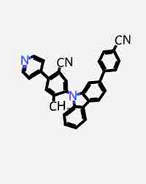 Cc1cc(-c2ccncc2)c(C#N)cc1-n1c2ccccc2c2ccc(-c3ccc(C#N)cc3)cc21